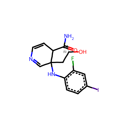 C[C@H](O)CC1(Nc2ccc(I)cc2F)C=NC=CC1C(N)=O